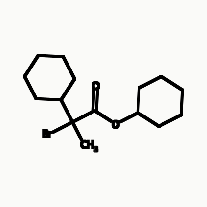 CC(Br)(C(=O)OC1CCCCC1)C1CCCCC1